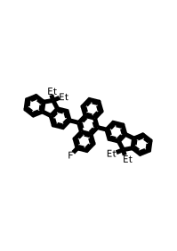 CCC1(CC)c2ccccc2-c2ccc(-c3c4ccccc4c(-c4ccc5c(c4)C(CC)(CC)c4ccccc4-5)c4cc(F)ccc34)cc21